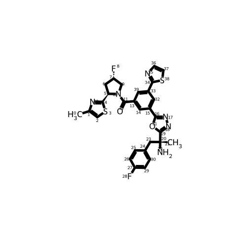 Cc1csc([C@H]2C[C@H](F)CN2C(=O)c2cc(-c3nnc([C@](C)(N)Cc4ccc(F)cc4)o3)cc(-c3nccs3)c2)n1